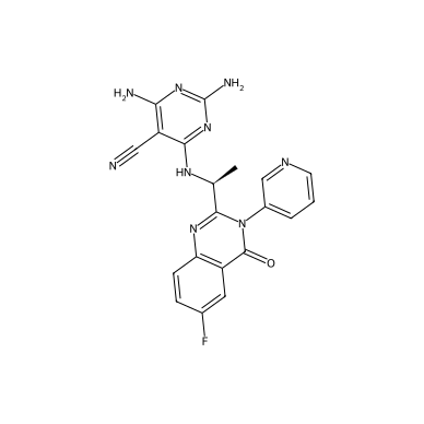 C[C@H](Nc1nc(N)nc(N)c1C#N)c1nc2ccc(F)cc2c(=O)n1-c1cccnc1